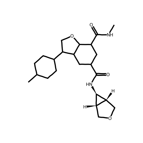 CNC(=O)C1CC(C(=O)N[C@H]2[C@@H]3COC[C@@H]32)CC2C(C3CCC(C)CC3)COC12